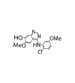 COc1ccc(Cl)c(Nc2ncnc3cc(O)c(OC)cc23)c1